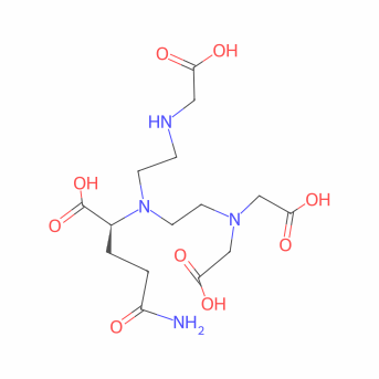 NC(=O)CC[C@@H](C(=O)O)N(CCNCC(=O)O)CCN(CC(=O)O)CC(=O)O